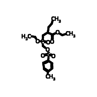 CCCC(CP(=O)(COS(=O)(=O)c1ccc(C)cc1)OCC)C(=O)OCC